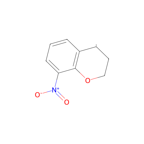 O=[N+]([O-])c1cccc2c1OCC[CH]2